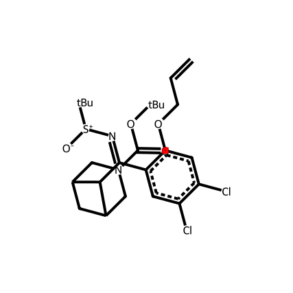 C=CCOc1cc(Cl)c(Cl)cc1C(=N[S+]([O-])C(C)(C)C)C1C2CC1CN(C(=O)OC(C)(C)C)C2